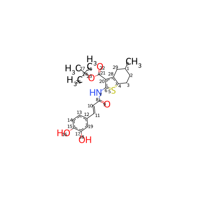 CC1CCc2sc(NC(=O)C=Cc3ccc(O)c(O)c3)c(C(=O)OC(C)(C)C)c2C1